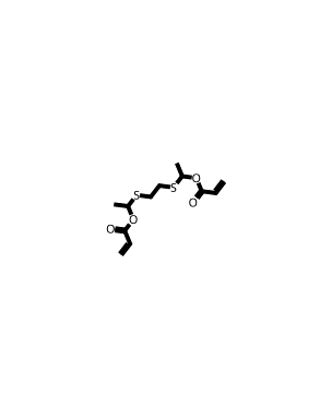 C=CC(=O)OC(C)SCCSC(C)OC(=O)C=C